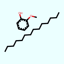 CCCCCCCCCCCCCC.COc1ccccc1O